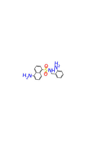 Nc1ccccc1CNS(=O)(=O)c1cccc2c(N)cccc12